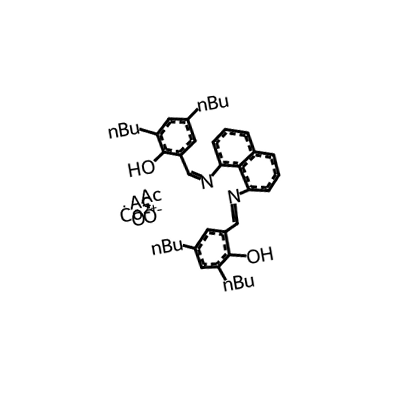 CC(=O)[O-].CC(=O)[O-].CCCCc1cc(C=Nc2cccc3cccc(N=Cc4cc(CCCC)cc(CCCC)c4O)c23)c(O)c(CCCC)c1.[Co+2]